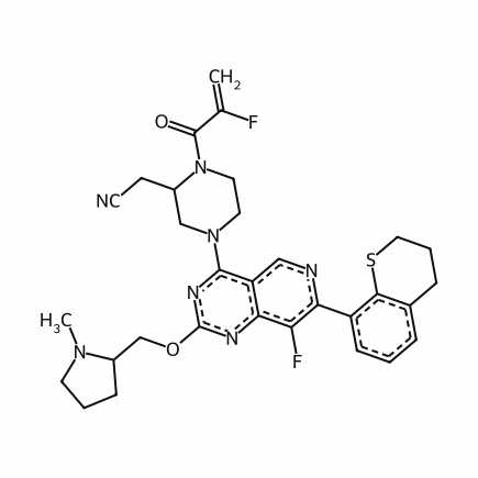 C=C(F)C(=O)N1CCN(c2nc(OCC3CCCN3C)nc3c(F)c(-c4cccc5c4SCCC5)ncc23)CC1CC#N